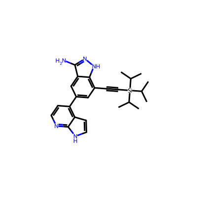 CC(C)[Si](C#Cc1cc(-c2ccnc3[nH]ccc23)cc2c(N)n[nH]c12)(C(C)C)C(C)C